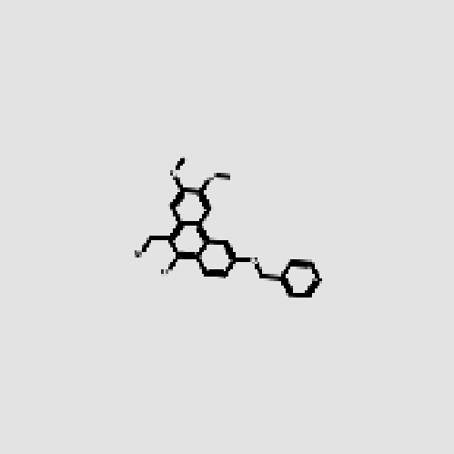 COc1cc2c(CBr)c(Br)c3ccc(OCc4ccccc4)cc3c2cc1OC